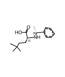 C[C@@H](N[C@@H](CCC(C)(C)C)C(=O)O)c1ccccc1